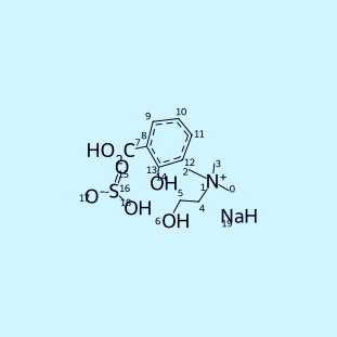 C[N+](C)(C)CCO.O=C(O)c1ccccc1O.O=S([O-])O.[NaH]